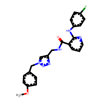 COc1ccc(Cn2cc(CNC(=O)c3cccnc3Nc3ccc(F)cc3)nn2)cc1